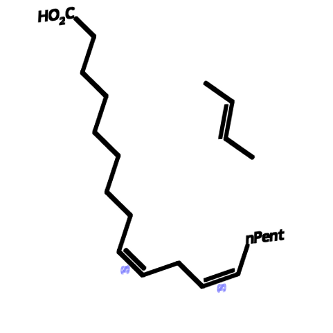 CC=CC.CCCCC/C=C\C/C=C\CCCCCCCC(=O)O